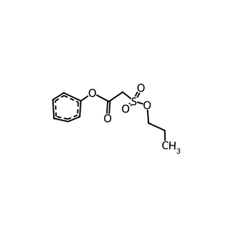 CCCOS(=O)(=O)CC(=O)Oc1ccccc1